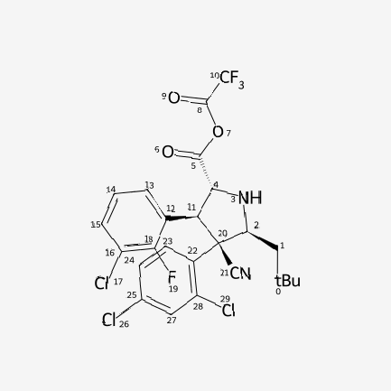 CC(C)(C)C[C@@H]1N[C@@H](C(=O)OC(=O)C(F)(F)F)[C@H](c2cccc(Cl)c2F)[C@@]1(C#N)c1ccc(Cl)cc1Cl